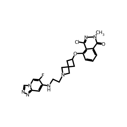 Cn1nc(Cl)c2c(OC3CC4(C3)CN(CCNc3cc5nncn5cc3F)C4)cccc2c1=O